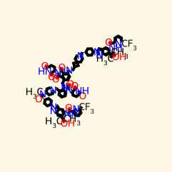 CN(C(=O)[C@H]1CC[C@H](n2cc3cc(NC(=O)c4cccc(C(F)(F)F)n4)c(C(C)(C)O)cc3n2)CC1)C1CCN(Cc2cccc3c2n(Cc2ccc(NCC4CC5(CCN(C[C@H]6CC[C@H](n7cc8cc(NC(=O)c9cccc(C(F)(F)F)n9)c(C(C)(C)O)cc8n7)CC6)CC5)C4)c4c2C(=O)N(C2CCC(=O)NC2=O)C4=O)c(=O)n3C2CCC(=O)NC2=O)CC1